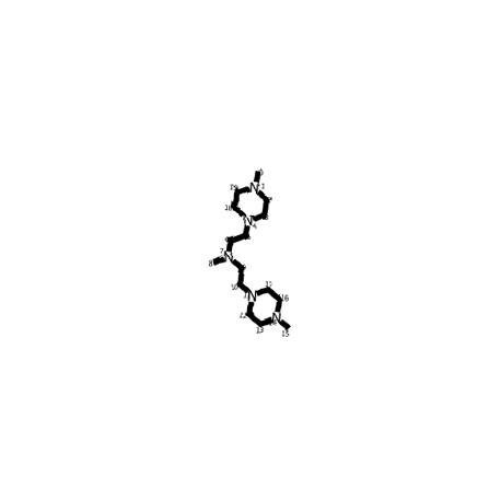 CN1CCN(CCN(C)CCN2CCN(C)CC2)CC1